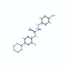 Cc1cc(N2CCCCC2)ccc1CC(=N)NCc1ccc(Cl)cc1